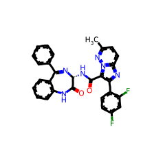 Cc1ccc2nc(-c3ccc(F)cc3F)c(C(=O)N[C@H]3N=C(c4ccccc4)c4ccccc4NC3=O)n2n1